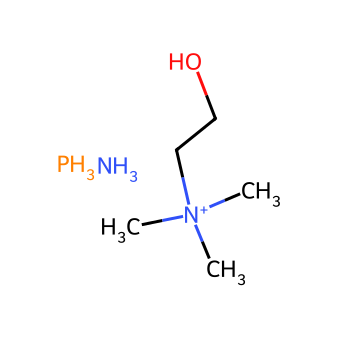 C[N+](C)(C)CCO.N.P